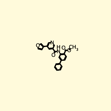 COC(=O)c1ccc(-c2ccccc2)cc1NC(=O)c1cncc(-c2ccoc2)c1